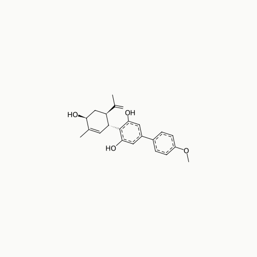 C=C(C)[C@@H]1C[C@H](O)C(C)=C[C@H]1c1c(O)cc(-c2ccc(OC)cc2)cc1O